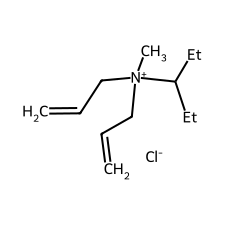 C=CC[N+](C)(CC=C)C(CC)CC.[Cl-]